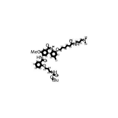 COc1cc(C(=O)N(C)c2ccc(C)cc2OCCCCCC(=O)NCCCN(C)C)ccc1NC(=O)c1ccccc1OCCCNC(=O)OC(C)(C)C